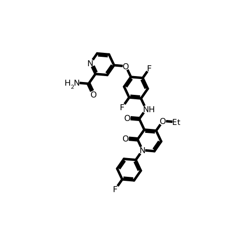 CCOc1ccn(-c2ccc(F)cc2)c(=O)c1C(=O)Nc1cc(F)c(Oc2ccnc(C(N)=O)c2)cc1F